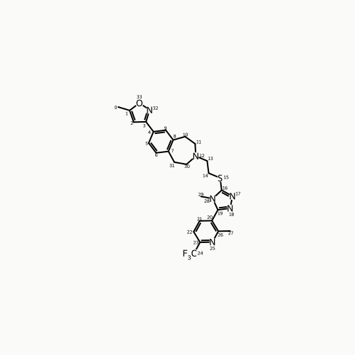 Cc1cc(-c2ccc3c(c2)CCN(CCSc2nnc(-c4ccc(C(F)(F)F)nc4C)n2C)CC3)no1